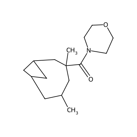 CC1CC2CC(C2)CC(C)(C(=O)N2CCOCC2)C1